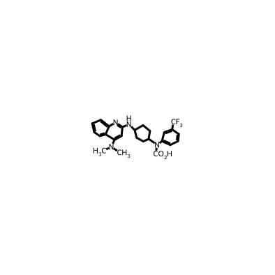 CN(C)c1cc(NC2CCC(N(C(=O)O)c3cccc(C(F)(F)F)c3)CC2)nc2ccccc12